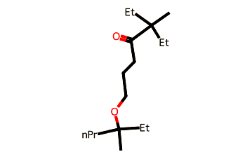 CCCC(C)(CC)OCCCC(=O)C(C)(CC)CC